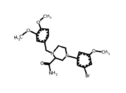 COc1cc(Br)cc(N2CCN(Cc3ccc(OC)c(OC)c3)C(C(N)=O)C2)c1